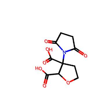 O=C(O)C1OCCC1(C(=O)O)N1C(=O)CCC1=O